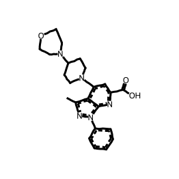 Cc1nn(-c2ccccc2)c2nc(C(=O)O)cc(N3CCC(N4CCOCC4)CC3)c12